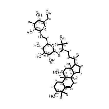 C[C@@H]1[C@@H](O)[C@H](OC[C@H]2O[C@@H](O[C@H](CC[C@@H](C)C3CC[C@@]4(C)C5CC=C6C(CC[C@H](O)C6(C)C)[C@]5(C)[C@H](O)C[C@]34C)C(C)(C)O)[C@H](O)[C@@H](O)[C@@H]2O)O[C@H](CO)[C@H]1O